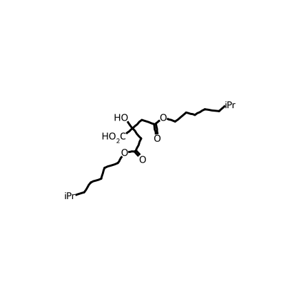 CC(C)CCCCCOC(=O)CC(O)(CC(=O)OCCCCCC(C)C)C(=O)O